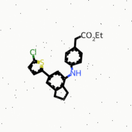 CCOC(=O)Cc1ccc(Nc2cc(-c3ccc(Cl)s3)cc3c2CCC3)cc1